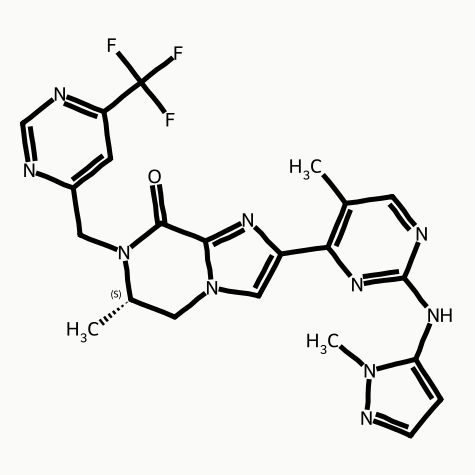 Cc1cnc(Nc2ccnn2C)nc1-c1cn2c(n1)C(=O)N(Cc1cc(C(F)(F)F)ncn1)[C@@H](C)C2